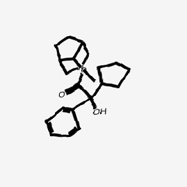 CN1CC2CCC(C1)C2OC(=O)C(O)(c1ccccc1)C1CCCC1